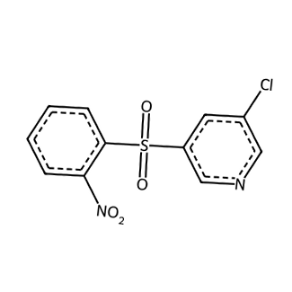 O=[N+]([O-])c1ccccc1S(=O)(=O)c1cncc(Cl)c1